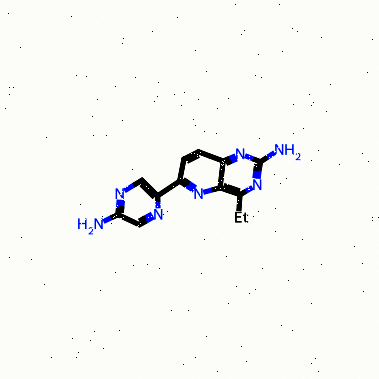 CCc1nc(N)nc2ccc(-c3cnc(N)cn3)nc12